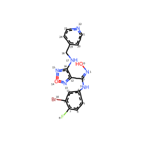 O/N=C(/Nc1ccc(F)c(Br)c1)c1nonc1NCc1ccncc1